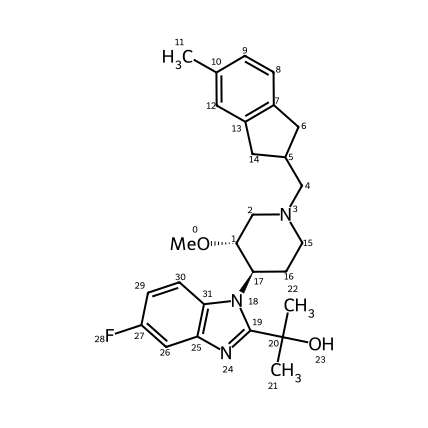 CO[C@@H]1CN(CC2Cc3ccc(C)cc3C2)CC[C@H]1n1c(C(C)(C)O)nc2cc(F)ccc21